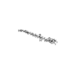 CC(C)(C)OC(=O)NCCCCCNC(=O)CCOCCOCCOCCOCCS